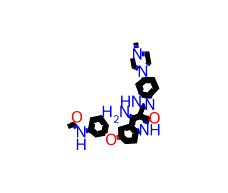 CC(=O)Nc1cccc(Oc2ccc3[nH]c(=O)c(-c4nc5ccc(N6CCN(C)CC6)cc5[nH]4)c(N)c3c2)c1